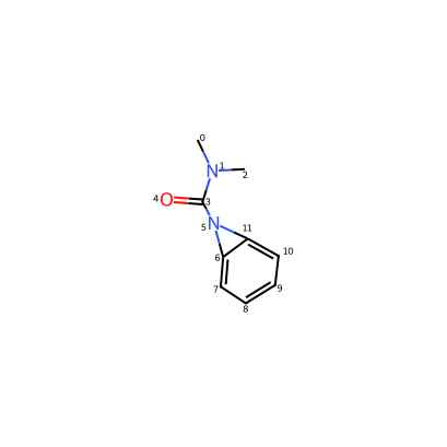 CN(C)C(=O)N1c2ccccc21